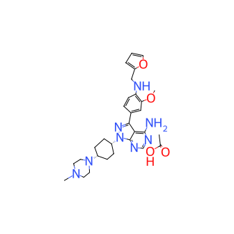 CC(=O)O.COc1cc(-c2nn([C@H]3CC[C@@H](N4CCN(C)CC4)CC3)c3ncnc(N)c23)ccc1NCc1ccco1